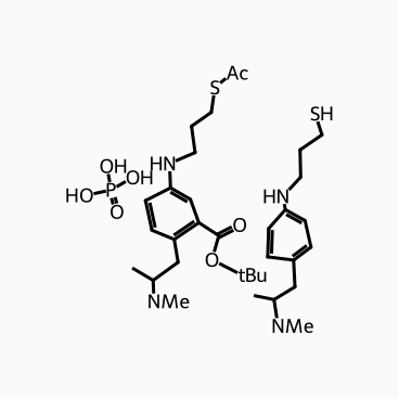 CNC(C)Cc1ccc(NCCCS)cc1.CNC(C)Cc1ccc(NCCCSC(C)=O)cc1C(=O)OC(C)(C)C.O=P(O)(O)O